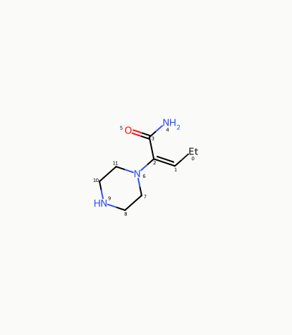 CCC=C(C(N)=O)N1CCNCC1